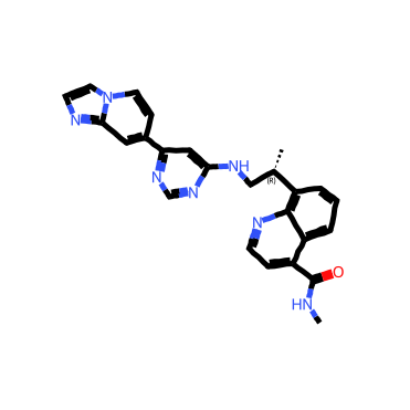 CNC(=O)c1ccnc2c([C@@H](C)CNc3cc(-c4ccn5ccnc5c4)ncn3)cccc12